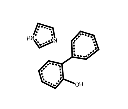 Oc1ccccc1-c1ccccc1.c1c[nH]cn1